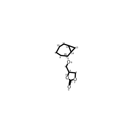 O=C1OCC(CO[C@@H]2CCCCC3CC32)O1